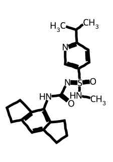 CNS(=O)(=NC(=O)Nc1c2c(cc3c1CCC3)CCC2)c1ccc(C(C)C)nc1